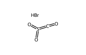 Br.O=C=S(=O)=O